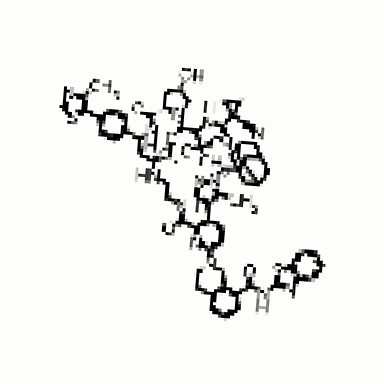 Cc1ncsc1-c1ccc(C(CC(=O)NCCNC(=O)c2nc(N3CCc4cccc(C(=O)Nc5nc6ccccc6s5)c4C3)ccc2-c2cnn(CC34CC5CC(CC(C5)C3)C4)c2C)NC(=O)[C@@H]2C[C@@H](O)CN2C(=O)C(NC(=O)C2(C#N)CC2)C(C)(C)C)cc1